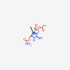 C=C1NC2[C@H](COC(N)=O)NC(=N)N3CC(OC(=O)CC)C(C)C23N1O